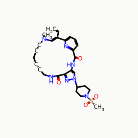 C=C/C1=C\N(C)CCCCCCNC(=O)c2nn(C3CCN(S(C)(=O)=O)CC3)cc2NC(=O)c2cccc1n2